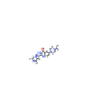 Cc1cn2nc(-c3nc4ccc(N5CCN(C(C)C)CC5)cc4c(=O)[nH]3)cc2c(C)n1